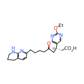 CCOc1ncc([C@H](CC(=O)O)CC(=O)CCCCc2ccc3c(n2)NCCC3)cn1